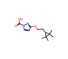 CC1(C)C(CCOc2ccn(C(=O)O)n2)C1(C)C